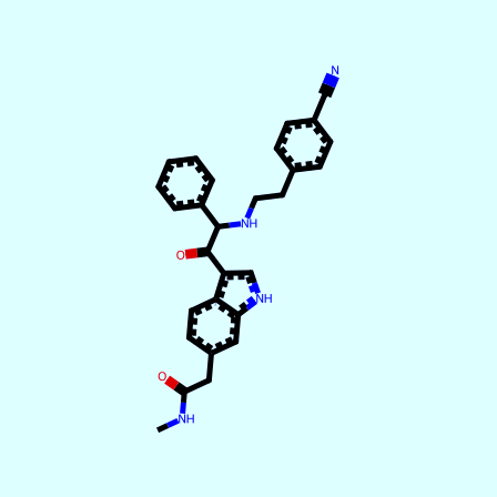 CNC(=O)Cc1ccc2c(C(=O)C(NCCc3ccc(C#N)cc3)c3ccccc3)c[nH]c2c1